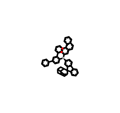 c1ccc(-c2ccc(N(c3ccc4c(c3)C3(c5ccccc5-4)C4CC5CC(C4)CC3C5)c3ccc4c(ccc5ccccc54)c3)c(-c3ccccc3)c2)cc1